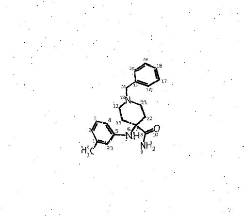 Cc1cccc(NC2(C(N)=O)CCN(Cc3ccccc3)CC2)c1